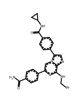 CC(C)CNc1nc(-c2ccc(C(N)=O)cc2)cn2c(-c3ccc(C(=O)NC4CC4)cc3)cnc12